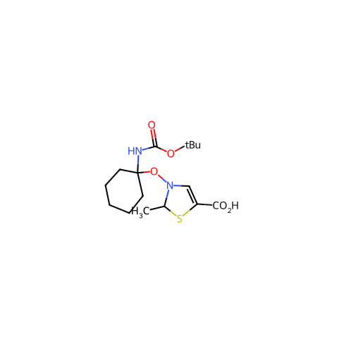 CC1SC(C(=O)O)=CN1OC1(NC(=O)OC(C)(C)C)CCCCC1